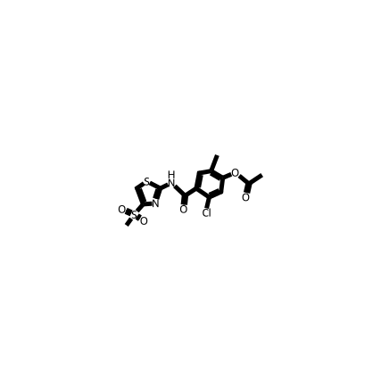 CC(=O)Oc1cc(Cl)c(C(=O)Nc2nc(S(C)(=O)=O)cs2)cc1C